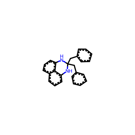 c1ccc(CC2(Cc3ccccc3)Nc3cccc4cccc(c34)N2)cc1